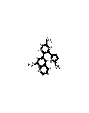 Cc1ccc(-c2nc(N)nnc2-c2cc(C)c3ncccc3c2)o1